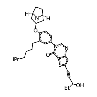 CCC(O)C#Cc1cc2ncn(-c3ccc(O[C@H]4C[C@H]5CC[C@@H](C4)N5C)c(CCCCC(C)C)c3)c(=O)c2s1